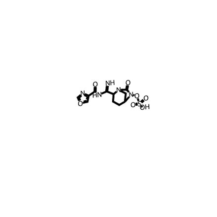 N=C(NC(=O)c1cocn1)C1CCC2CN1C(=O)N2OS(=O)(=O)O